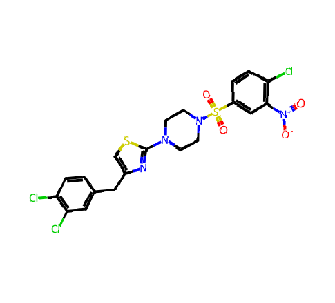 O=[N+]([O-])c1cc(S(=O)(=O)N2CCN(c3nc(Cc4ccc(Cl)c(Cl)c4)cs3)CC2)ccc1Cl